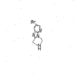 Brc1cnc2c(c1)nc1n2CCNCC1